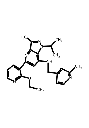 CCOc1ncccc1-c1cc(NCc2ccnc(C)c2)c2c(n1)c(C)nn2C(C)C